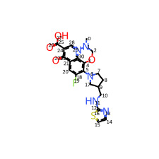 CN1COc2c(N3CCC(CNc4nccs4)C3)c(F)cc3c(=O)c(C(=O)O)cn1c23